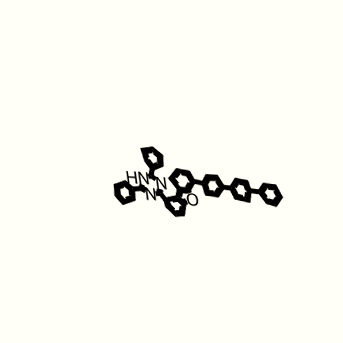 c1ccc(C2=NC(c3cccc4oc5c(-c6ccc(-c7ccc(-c8ccccc8)cc7)cc6)cccc5c34)=NC(c3ccccc3)N2)cc1